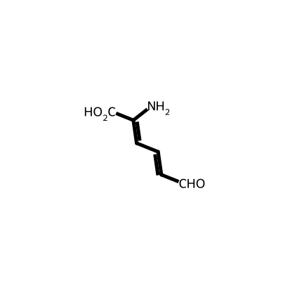 NC(=CC=CC=O)C(=O)O